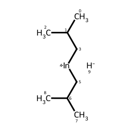 CC(C)[CH2][In][CH2]C(C)C.[H-]